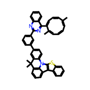 Cc1ccccc(C)c(-c2nc(-c3cccc(-c4ccc5c(c4)C(C)(C)c4cccc6c7c8ccccc8sc7n-5c46)c3)nc3ccccc23)ccc1